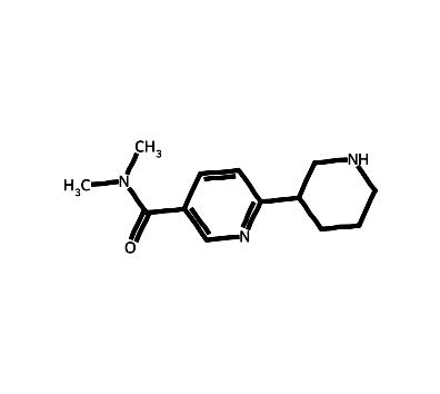 CN(C)C(=O)c1ccc(C2CCCNC2)nc1